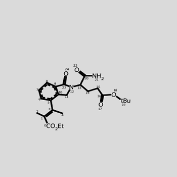 CCOC(=O)/C(C)=C(\C)c1cccc2c1CN(C(CCC(=O)OC(C)(C)C)C(N)=O)C2=O